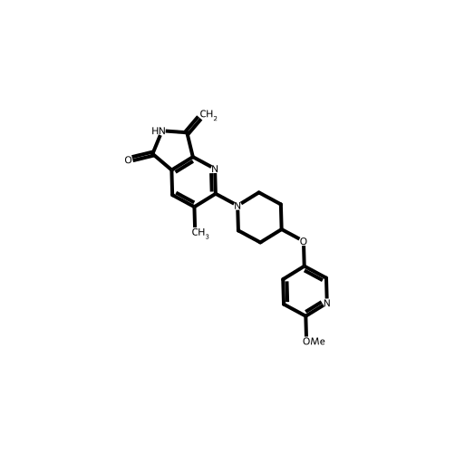 C=C1NC(=O)c2cc(C)c(N3CCC(Oc4ccc(OC)nc4)CC3)nc21